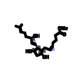 COC(=O)CCC/C=C\C[C@@H]1[C@@H](/C=C/[C@@H](O)CCC=C(C)C)[C@H](O)C[C@@H]1O